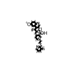 COc1ccc2ncc(Cl)c([C@@H](F)CC[C@H]3CCN(CCSc4ncccc4F)C[C@H]3C(=O)O)c2c1